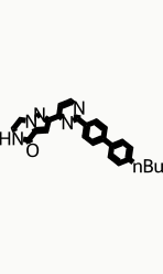 CCCCc1ccc(-c2ccc(-c3nccc(-c4cc5n(n4)CCNC5=O)n3)cc2)cc1